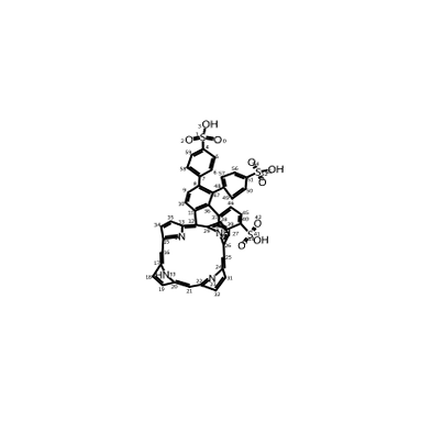 O=S(=O)(O)c1ccc(-c2ccc(-c3c4nc(cc5ccc(cc6nc(cc7ccc3[nH]7)C=C6)[nH]5)C=C4)c(-c3ccc(S(=O)(=O)O)cc3)c2-c2ccc(S(=O)(=O)O)cc2)cc1